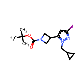 CC(C)(C)OC(=O)N1CC(c2cc(I)nn2CC2CC2)C1